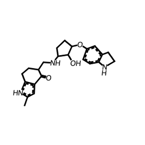 Cc1cc2c([nH]1)CCC(CNC1CCC(Oc3ccc4c(c3)CCN4)C1O)C2=O